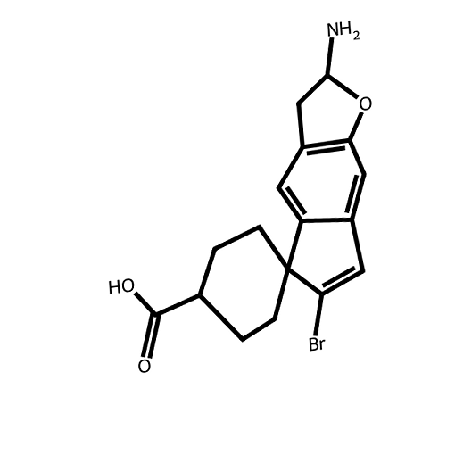 NC1Cc2cc3c(cc2O1)C=C(Br)C31CCC(C(=O)O)CC1